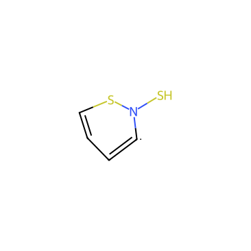 SN1[C]=CC=CS1